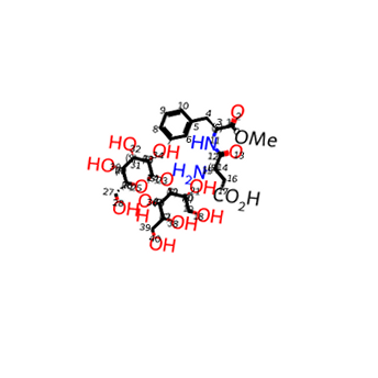 COC(=O)[C@H](Cc1ccccc1)NC(=O)[C@@H](N)CC(=O)O.OC[C@@H](O)[C@@H](O[C@@H]1O[C@H](CO)[C@H](O)[C@H](O)[C@H]1O)[C@H](O)[C@@H](O)CO